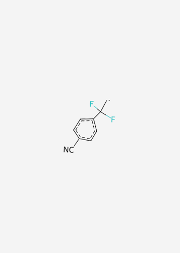 [CH2]C(F)(F)c1ccc(C#N)cc1